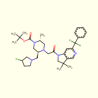 C[C@@H]1CN(CC(=O)N2CC(C)(C)c3cnc(C(F)(F)c4ccccc4)cc32)[C@@H](CN2CCC(F)C2)CN1C(=O)OC(C)(C)C